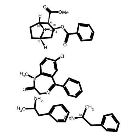 CC(N)Cc1ccccc1.CN1C(=O)CN=C(c2ccccc2)c2cc(Cl)ccc21.CN[C@@H](C)Cc1ccccc1.COC(=O)[C@H]1[C@@H](OC(=O)c2ccccc2)C[C@@H]2CC[C@H]1N2C